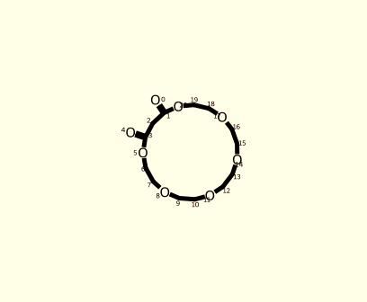 O=C1CC(=O)OCCOCCOCCOCCOCCO1